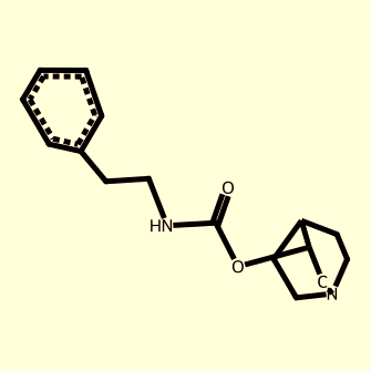 O=C(NCCc1ccccc1)OC1CN2CCC1CC2